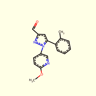 COc1ccc(-n2nc(C=O)cc2-c2ccccc2C)cn1